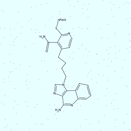 CCCCCSc1nccc(CCCCn2cnc3c(N)nc4ccccc4c32)c1C(N)=O